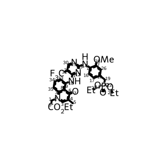 CCOC(=O)Cn1cc(C)c(=O)c2c(Nc3nc(Nc4ccc(CP(=O)(OCC)OCC)cc4OC)ncc3C(F)(F)F)cccc21